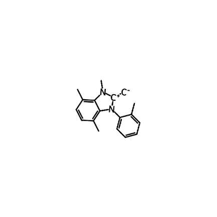 [CH2-][c+]1n(C)c2c(C)ccc(C)c2n1-c1ccccc1C